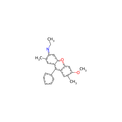 CC/N=c1\cc2oc3cc(OC)c(C)cc3c(-c3ccccc3)c-2cc1C